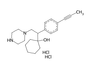 CC#Cc1ccc(C(CN2CCNCC2)C2(O)CCCCC2)cc1.Cl.Cl